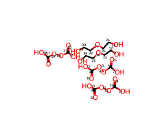 O=C(O)OOC(=O)O.O=C(O)OOC(=O)O.O=C(O)OOC(=O)O.OCCOCCO.OCCOCCO